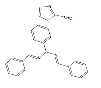 C(=NC(N=Cc1ccccc1)c1ccccc1)c1ccccc1.O=Cc1nccs1